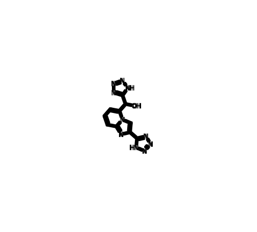 OC(c1nnn[nH]1)c1cccc2nc(-c3nnn[nH]3)cn12